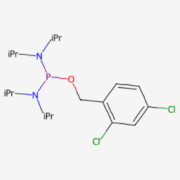 CC(C)N(C(C)C)P(OCc1ccc(Cl)cc1Cl)N(C(C)C)C(C)C